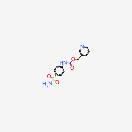 NS(=O)(=O)c1ccc(NC(=O)OCc2cccnc2)cc1